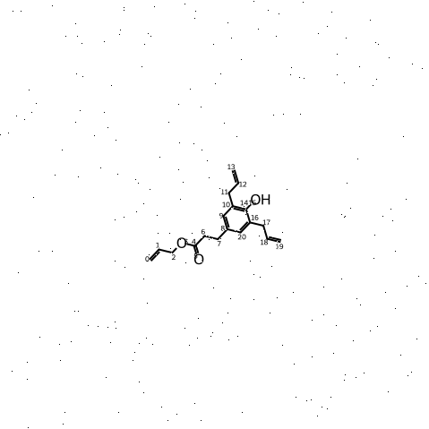 C=CCOC(=O)CCc1cc(CC=C)c(O)c(CC=C)c1